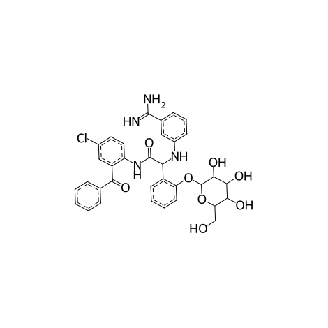 N=C(N)c1cccc(NC(C(=O)Nc2ccc(Cl)cc2C(=O)c2ccccc2)c2ccccc2OC2OC(CO)C(O)C(O)C2O)c1